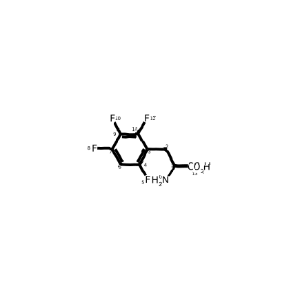 NC(Cc1c(F)cc(F)c(F)c1F)C(=O)O